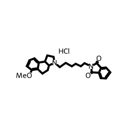 COc1cccc2c1CCC1C2CCN1CCCCCCN1C(=O)c2ccccc2C1=O.Cl